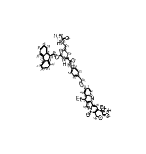 CCc1c2c(nc3ccc(OCc4ccc(NC(=O)[C@H](CCCNC(N)=O)NC(=O)OCC5c6ccccc6-c6ccccc65)cc4)cc13)-c1cc3c(c(=O)n1C2)COC(=O)[C@]3(O)CC